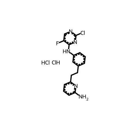 Cl.Cl.Nc1cccc(CCc2cccc(Nc3nc(Cl)ncc3F)c2)n1